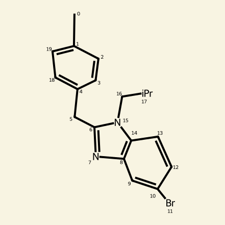 Cc1ccc(Cc2nc3cc(Br)ccc3n2CC(C)C)cc1